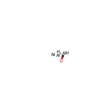 [AlH3].[Ni].[O]=[AlH]